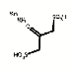 O=C(CS(=O)(=O)O)CS(=O)(=O)O.[KH].[KH]